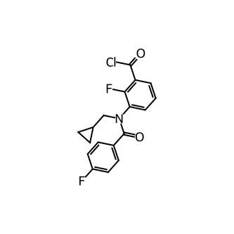 O=C(Cl)c1cccc(N(CC2CC2)C(=O)c2ccc(F)cc2)c1F